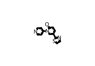 O=c1ccc(-c2nccs2)cn1-c1ccncc1